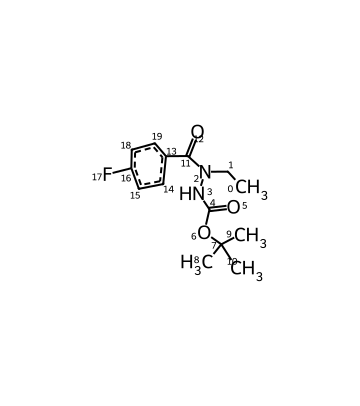 CCN(NC(=O)OC(C)(C)C)C(=O)c1ccc(F)cc1